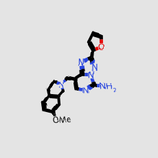 COc1ccc2c(c1)CN(Cc1cnc(N)n3nc(-c4ccco4)nc13)CC2